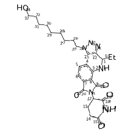 CCC(Nc1cccc2c1C(=O)N(C1CCC(=O)NC1=O)C2=O)c1cn(CCCCCCCCCO)nn1